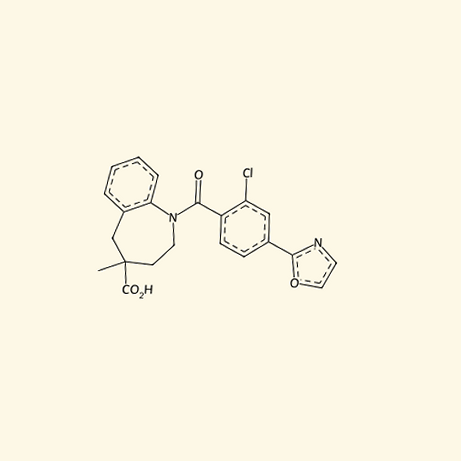 CC1(C(=O)O)CCN(C(=O)c2ccc(-c3ncco3)cc2Cl)c2ccccc2C1